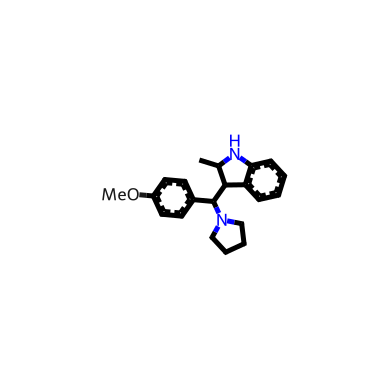 COc1ccc(C(C2c3ccccc3NC2C)N2CCCC2)cc1